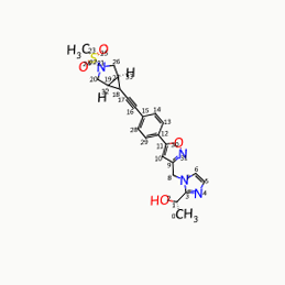 C[C@H](O)c1nccn1Cc1cc(-c2ccc(C#CC3[C@H]4CN(S(C)(=O)=O)C[C@@H]34)cc2)on1